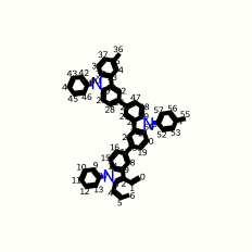 C=Cc1c(/C=C\C)n(-c2ccccc2)c2ccc(-c3ccc4c(c3)c3cc(-c5ccc6c(c5)c5cc(C)ccc5n6-c5ccccc5)ccc3n4-c3ccc(C)cc3)cc12